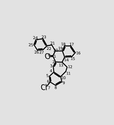 O=C1C2=Cc3cc(Cl)ccc3CCC2c2ccccc2C1Cc1ccccc1